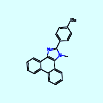 CCC(C)c1ccc(-c2nc3c4ccccc4c4ccccc4c3n2C)cc1